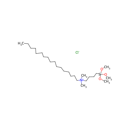 CCCCCCCCCCCCCCCCC[N+](C)(C)CCCC[Si](OC)(OC)OC.[Cl-]